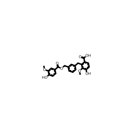 COc1cc(C(=O)OCc2cccc(Cc3c(C(=O)O)ccc(O)c3OC)c2)ccc1O